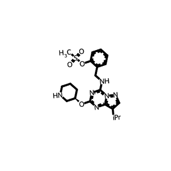 CC(C)c1cnn2c(NCc3ccccc3OS(C)(=O)=O)nc(O[C@@H]3CCCNC3)nc12